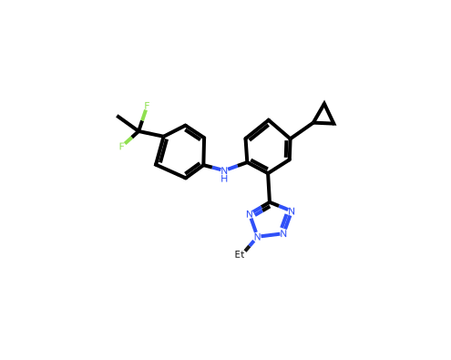 CCn1nnc(-c2cc(C3CC3)ccc2Nc2ccc(C(C)(F)F)cc2)n1